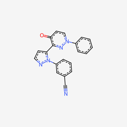 N#Cc1cccc(-n2nccc2-c2nn(-c3ccccc3)ccc2=O)c1